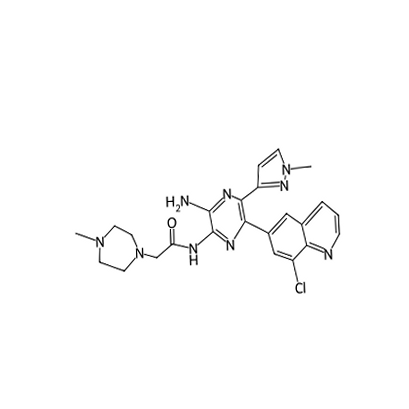 CN1CCN(CC(=O)Nc2nc(-c3cc(Cl)c4ncccc4c3)c(-c3ccn(C)n3)nc2N)CC1